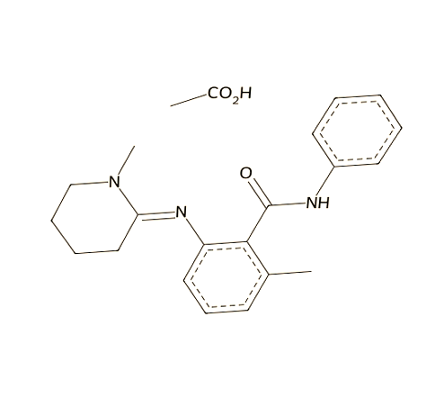 CC(=O)O.Cc1cccc(N=C2CCCCN2C)c1C(=O)Nc1ccccc1